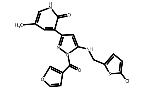 Cc1c[nH]c(=O)c(-c2cc(NCc3ccc(Cl)s3)n(C(=O)c3ccoc3)n2)c1